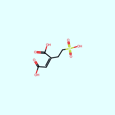 O=C(O)C=C(CCS(=O)(=O)O)C(=O)O